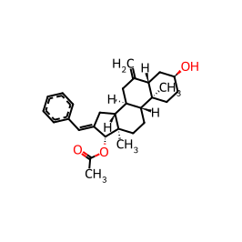 C=C1C[C@@H]2[C@H]3C/C(=C\c4ccccc4)[C@@H](OC(C)=O)[C@]3(C)CC[C@H]2[C@]2(C)CC[C@H](O)C[C@@H]12